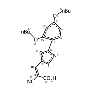 CCCCOc1ccc(-c2ncc(/C=C(/C#N)C(=O)O)s2)c(OCCCC)c1